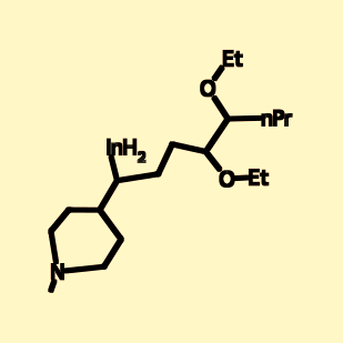 CCCC(OCC)C(CC[CH]([InH2])C1CCN(C)CC1)OCC